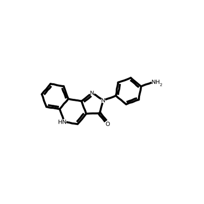 Nc1ccc(-n2nc3c4ccccc4[nH]cc-3c2=O)cc1